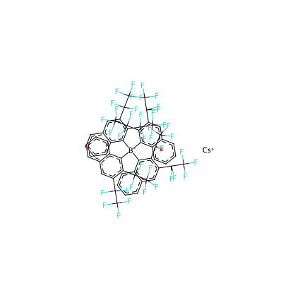 FC(F)(F)C(F)(F)c1cc2ccccc2c([B-](c2c(C(F)(F)C(F)(F)F)c(C(F)(F)C(F)(F)F)cc3ccccc23)(c2c(C(F)(F)C(F)(F)F)c(C(F)(F)C(F)(F)F)cc3ccccc23)c2c(C(F)(F)C(F)(F)F)c(C(F)(F)C(F)(F)F)cc3ccccc23)c1C(F)(F)C(F)(F)F.[Cs+]